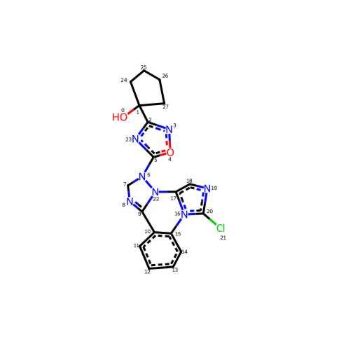 OC1(c2noc(N3CN=C4c5ccccc5-n5c(cnc5Cl)N43)n2)CCCC1